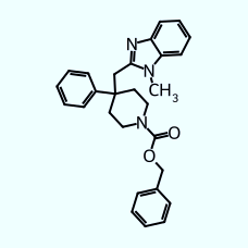 Cn1c(CC2(c3ccccc3)CCN(C(=O)OCc3ccccc3)CC2)nc2ccccc21